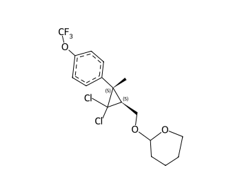 C[C@@]1(c2ccc(OC(F)(F)F)cc2)[C@@H](COC2CCCCO2)C1(Cl)Cl